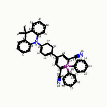 CC1(C)c2ccccc2N(C2=CC=C(C3=CC(C#N)=P(c4ccccc4)(c4ccccc4)C(C#N)=C3)CC2)c2ccccc21